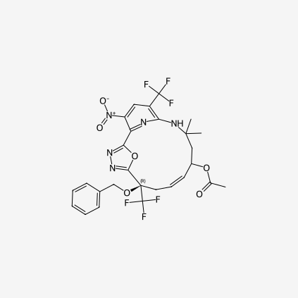 CC(=O)OC1C=CC[C@](OCc2ccccc2)(C(F)(F)F)c2nnc(o2)-c2nc(c(C(F)(F)F)cc2[N+](=O)[O-])NC(C)(C)C1